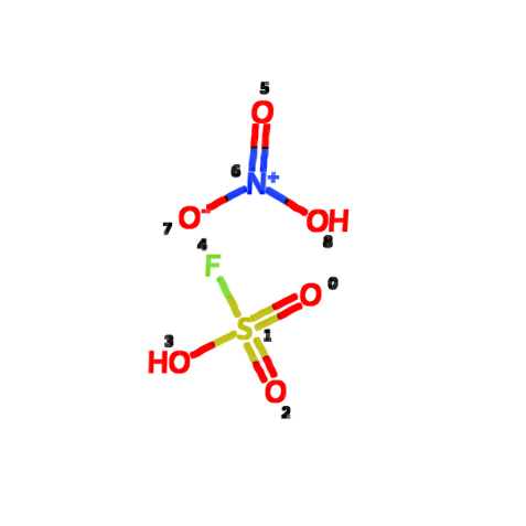 O=S(=O)(O)F.O=[N+]([O-])O